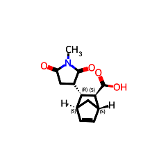 CN1C(=O)CC([C@@H]2[C@@H](C(=O)O)[C@@H]3C=C[C@@H]2C3)C1=O